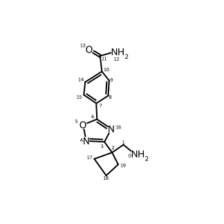 NCC1(c2noc(-c3ccc(C(N)=O)cc3)n2)CCC1